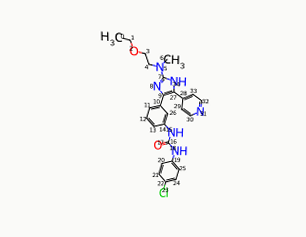 CCOCCN(C)c1nc(-c2cccc(NC(=O)Nc3ccc(Cl)cc3)c2)c(-c2ccncc2)[nH]1